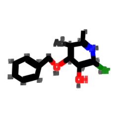 CC(=O)c1c(C)nc(Br)c(O)c1OCc1ccccc1